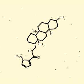 C[C@H]1CC[C@H]2C(CC[C@@H]3C2CC[C@@]2(C)C3CCC[C@@H]2CNC(=O)c2ccnn2C)C1